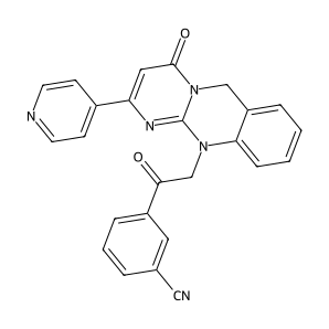 N#Cc1cccc(C(=O)CN2c3ccccc3Cn3c2nc(-c2ccncc2)cc3=O)c1